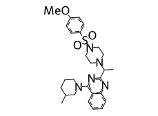 COc1ccc(S(=O)(=O)N2CCN(C(C)c3nc(N4CCCC(C)C4)c4ccccc4n3)CC2)cc1